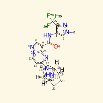 Cn1cc(NC(=O)c2cnn3ccc(N4[C@@H]5CC[C@H]4[C@@H]4CC[C@H]5N4)nc23)c(C(F)(F)F)n1